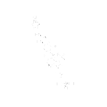 Cn1ccc(CNC(=O)Nc2cc(F)c(Oc3ccnc4c3c(C(F)(F)F)cn4COCC[Si](C)(C)C)c(F)c2)n1